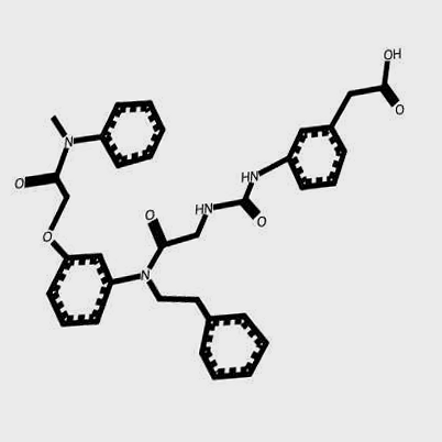 CN(C(=O)COc1cccc(N(CCc2ccccc2)C(=O)CNC(=O)Nc2cccc(CC(=O)O)c2)c1)c1ccccc1